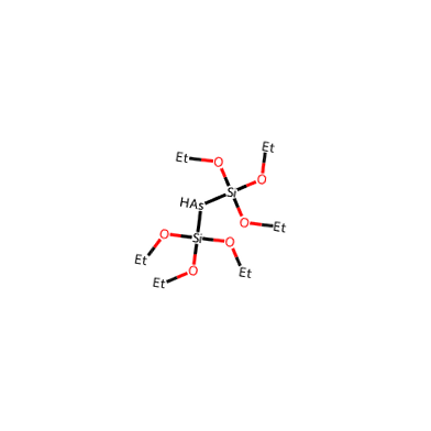 CCO[Si](OCC)(OCC)[AsH][Si](OCC)(OCC)OCC